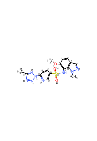 COc1ccc2cnn(C)c2c1NS(=O)(=O)c1ccc(-n2nnc(C)n2)nc1